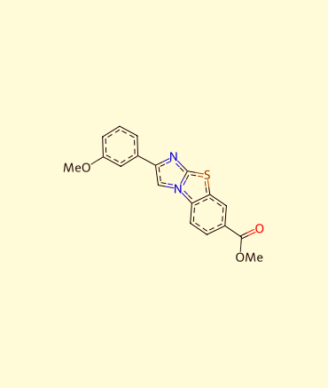 COC(=O)c1ccc2c(c1)sc1nc(-c3cccc(OC)c3)cn12